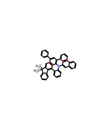 CC1(C)c2ccccc2-c2c(-c3ccccc3N(c3ccc4ccccc4c3)c3ccc(-c4ccccc4)cc3-c3ccccc3)cccc21